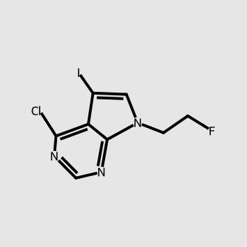 FCCn1cc(I)c2c(Cl)ncnc21